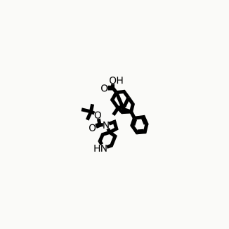 CC(C)(C)OC(=O)N1CCC12CCNCC2.CC12CC3CC(C(=O)O)(C1)CC(c1ccccc1)(C3)C2